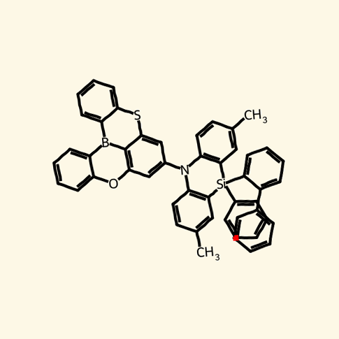 Cc1ccc2c(c1)[Si](c1ccccc1)(c1ccccc1-c1ccccc1)c1cc(C)ccc1N2c1cc2c3c(c1)Sc1ccccc1B3c1ccccc1O2